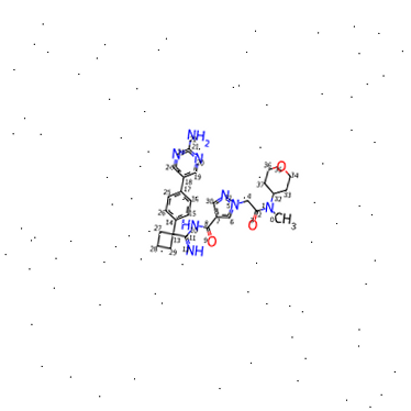 CN(C(=O)Cn1cc(C(=O)NC(=N)C2(c3ccc(-c4cnc(N)nc4)cc3)CCC2)cn1)C1CCOCC1